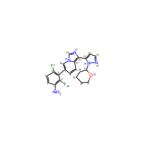 Nc1ccc(F)c(-c2ccc3c(-c4ccnn4C4CCCCO4)ncn3c2)c1F